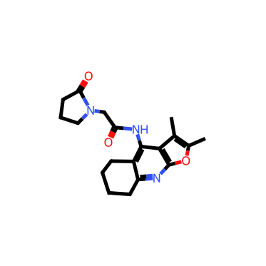 Cc1oc2nc3c(c(NC(=O)CN4CCCC4=O)c2c1C)CCCC3